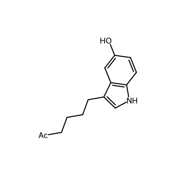 CC(=O)CCCCc1c[nH]c2ccc(O)cc12